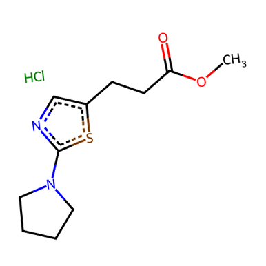 COC(=O)CCc1cnc(N2CCCC2)s1.Cl